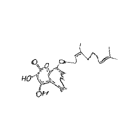 CC(C)=CCCC(C)=CCOc1cccc2c(O)c(O)c(=O)oc12